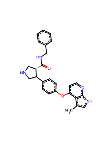 Cc1c[nH]c2nccc(Oc3ccc(C4CNC[C@@H]4C(=O)NCc4ccccc4)cc3)c12